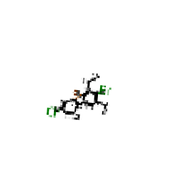 CCc1cc2c(sc3cc(Cl)ccc32)c(CC)c1Br